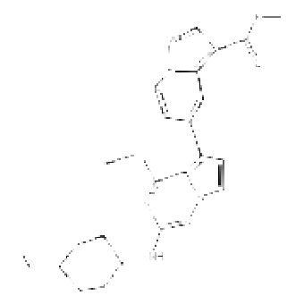 CNC(=O)c1cnn2ccc(-c3ccn4nc(N[C@H]5CC[C@@H](OC)CC5)nc(OC)c34)cc12